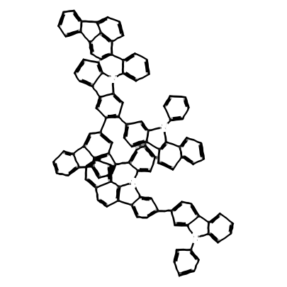 c1ccc(-n2c3ccccc3c3ccc(-c4ccc5c6ccc7ccccc7c6n(-c6ccccc6-c6ccc7c8c(cc(-c9cc%10c%11ccccc%11n(-c%11ccccc%11-c%11ccc%12c%13c(cccc%11%13)-c%11ccccc%11-%12)c%10cc9-c9ccc%10c%11ccc%12ccccc%12c%11n(-c%11ccccc%11)c%10c9)cc68)-c6ccccc6-7)c5c4)cc32)cc1